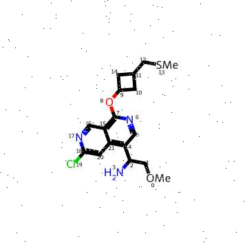 COCC(N)c1cnc(OC2CC(CSC)C2)c2cnc(Cl)cc12